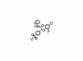 O=C(Nc1nccs1)C(Oc1ccc(Cl)cc1F)c1ccc(S(=O)(=O)C2CC2)cc1